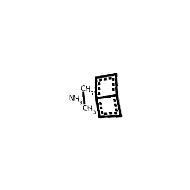 CC.N.c1cc2ccc1-2